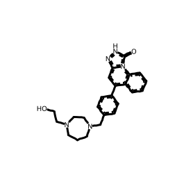 O=c1[nH]nc2cc(-c3ccc(CN4CCCN(CCO)CC4)cc3)c3ccccc3n12